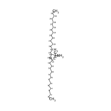 CCCCCCCCCCCCCCCCC(CCCCCCCCCCCCCCCC)C(C)(C)N